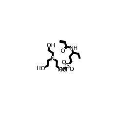 C=CC(=O)NC(CC)CCS(=O)(=O)O.OCCN(CCO)CCO